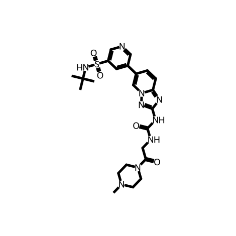 CN1CCN(C(=O)CNC(=O)Nc2nc3ccc(-c4cncc(S(=O)(=O)NC(C)(C)C)c4)cn3n2)CC1